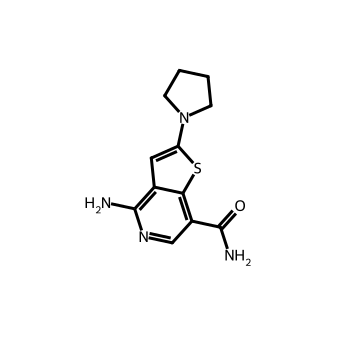 NC(=O)c1cnc(N)c2cc(N3CCCC3)sc12